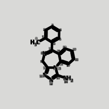 Cc1ccccc1C1=NCc2nnc(N)n2-c2ccccc21